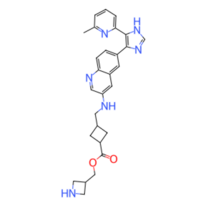 Cc1cccc(-c2[nH]cnc2-c2ccc3ncc(NCC4CC(C(=O)OCC5CNC5)C4)cc3c2)n1